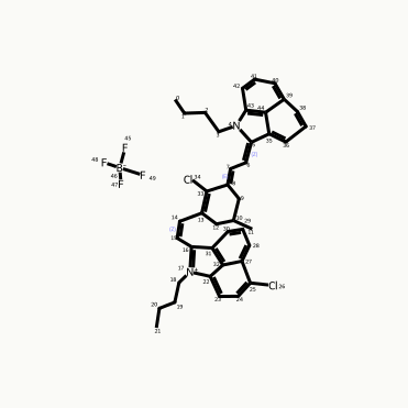 CCCCn1/c(=C\C=C2/CC(C)CC(/C=C\C3=[N+](CCCC)c4ccc(Cl)c5cccc3c45)=C2Cl)c2cccc3cccc1c32.F[B-](F)(F)F